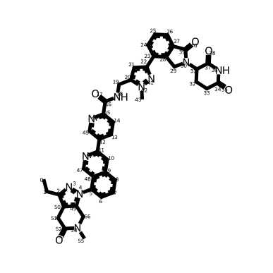 CCc1nn(-c2cccc3cc(-c4ccc(C(=O)NCc5cc(-c6cccc7c6CN(C6CCC(=O)NC6=O)C7=O)nn5C)nc4)ncc23)c2c1CC(=O)N(C)C2